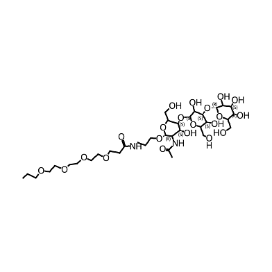 CCCOCCOCCOCCOCCC(=O)NCCCO[C@@H]1OC(CO)[C@@H](O[C@@H]2OC(CO)[C@H](O)[C@H](O[C@H]3OC(CO)[C@H](O)[C@H](O)C3O)C2O)[C@@H](O)C1NC(C)=O